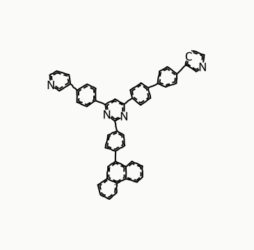 c1cncc(-c2ccc(-c3ccc(-c4cc(-c5ccc(-c6cccnc6)cc5)nc(-c5ccc(-c6cc7ccccc7c7ccccc67)cc5)n4)cc3)cc2)c1